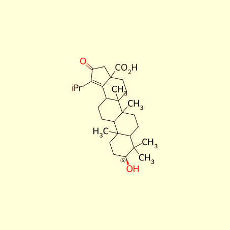 CC(C)C1=C2C3CCC4C5(C)CC[C@H](O)C(C)(C)C5CCC4(C)C3(C)CCC2(C(=O)O)CC1=O